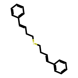 C(=C\c1ccccc1)/CCSCC/C=C/c1ccccc1